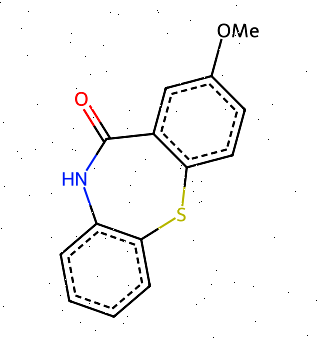 COc1ccc2c(c1)C(=O)Nc1ccccc1S2